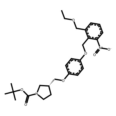 CCOCc1cccc([N+](=O)[O-])c1COc1ccc(OC[C@@H]2CCN(C(=O)OC(C)(C)C)C2)cc1